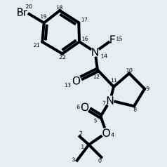 CC(C)(C)OC(=O)N1CCCC1C(=O)N(F)c1ccc(Br)cc1